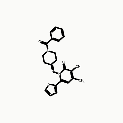 N#Cc1c(C(F)(F)F)cc(-c2cccs2)n(N=C2CCN(C(=O)c3ccccc3)CC2)c1=O